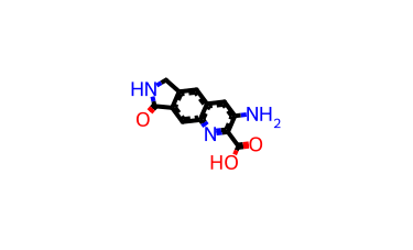 Nc1cc2cc3c(cc2nc1C(=O)O)C(=O)NC3